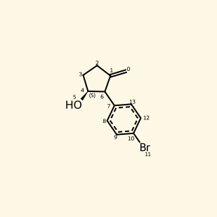 C=C1CC[C@H](O)C1c1ccc(Br)cc1